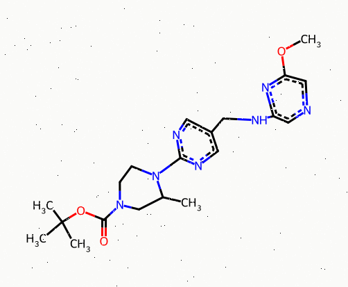 COc1cncc(NCc2cnc(N3CCN(C(=O)OC(C)(C)C)CC3C)nc2)n1